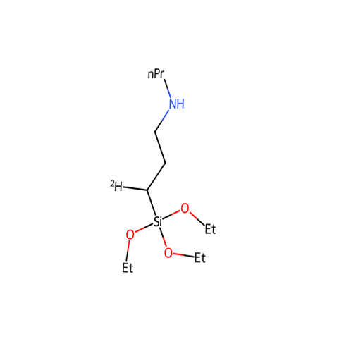 [2H]C(CCNCCC)[Si](OCC)(OCC)OCC